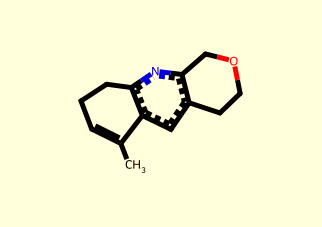 CC1=CCCc2nc3c(cc21)CCOC3